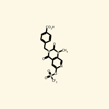 Cn1c(=O)n(Cc2ccc(C(=O)O)cc2)c(=O)c2cc(OS(=O)(=O)C(F)(F)F)ncc21